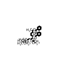 C[C@H](OC(=O)c1ccccc1)[C@H](O)/C=C\C(OC(=O)c1ccccc1)[C@H]1OC(C)(C)O[C@H]1CCO[Si](C)(C)C(C)(C)C